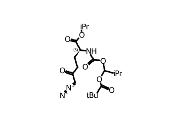 CC(C)OC(=O)[C@H](CCC(=O)C=[N+]=[N-])NC(=O)OC(OC(=O)C(C)(C)C)C(C)C